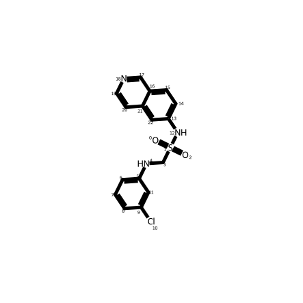 O=S(=O)(CNc1cccc(Cl)c1)Nc1ccc2cnccc2c1